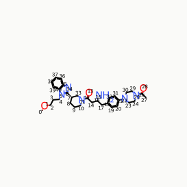 COCCCn1c([C@@H]2CCCN(C(=O)C[C@H](N)Cc3ccc(N4CCN(C(C)=O)CC4)cc3)C2)nc2ccccc21